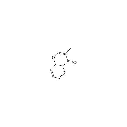 CC1=COC2C=CC=CC2C1=O